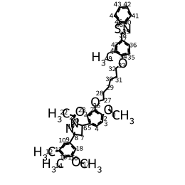 COc1ccc(C2CC(c3cc(C)c(C)c(OC)c3)=NN2C(C)=O)cc1OCCCCCCOc1ccc(-c2nc3ccccc3s2)cc1C